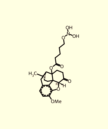 COc1ccc2c3c1O[C@H]1C(=O)CCC4(OC(=O)CCCCON(O)O)C(C2)N(C)CCC314